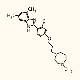 Cc1cc(C)c2nc(-c3ccc(OCCCN4CCCN(C)CC4)cc3Cl)[nH]c2c1